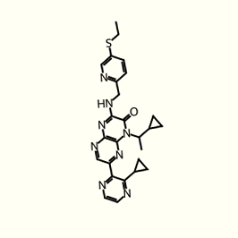 CCSc1ccc(CNc2nc3ncc(-c4nccnc4C4CC4)nc3n(C(C)C3CC3)c2=O)nc1